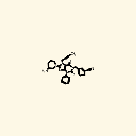 CC#CCn1c(N2CCCC(N)C2)nc2c1c(=O)n(Cc1cccc(C#N)c1)c(=O)n2-c1ccccc1